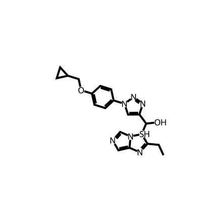 CCC1=Nc2cncn2[SH]1C(O)c1cn(-c2ccc(OCC3CC3)cc2)nn1